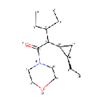 CCC(CC)C(C(=O)N1CCOCC1)C1C[C@H]1CC